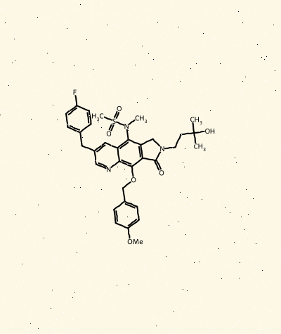 COc1ccc(COc2c3c(c(N(C)S(C)(=O)=O)c4cc(Cc5ccc(F)cc5)cnc24)CN(CCC(C)(C)O)C3=O)cc1